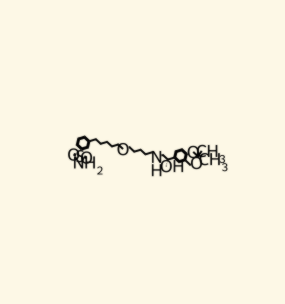 CC1(C)OCc2cc([C@H](O)CNCCCCCOCCCCCc3cccc(S(N)(=O)=O)c3)ccc2O1